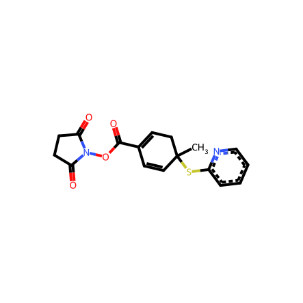 CC1(Sc2ccccn2)C=CC(C(=O)ON2C(=O)CCC2=O)=CC1